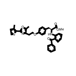 COC(=O)[C@H](Cc1ccc(OCCc2nc(-c3sccc3C)oc2C)cc1)Nc1ccccc1C(=O)c1ccccc1